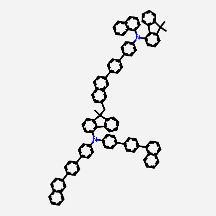 CC1(C)c2ccccc2-c2c(N(c3ccc(-c4ccc(-c5ccc6ccc(CC7(C)c8ccccc8-c8c(N(c9ccc(-c%10ccc(-c%11ccc%12ccccc%12c%11)cc%10)cc9)c9ccc(-c%10ccc(-c%11cccc%12ccccc%11%12)cc%10)cc9)cccc87)cc6c5)cc4)cc3)c3cccc4ccccc34)cccc21